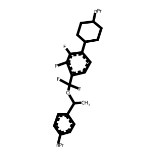 CCCc1ccc(C(C)OC(F)(F)c2ccc(C3CCC(CCC)CC3)c(F)c2F)cc1